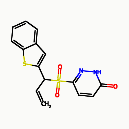 C=CC(c1cc2ccccc2s1)S(=O)(=O)c1ccc(=O)[nH]n1